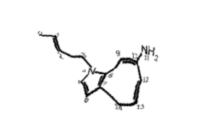 C/C=C/Cn1ccc2c1C=C(N)C=CC2